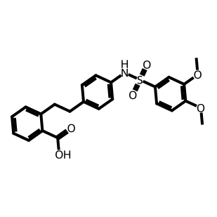 COc1ccc(S(=O)(=O)Nc2ccc(CCc3ccccc3C(=O)O)cc2)cc1OC